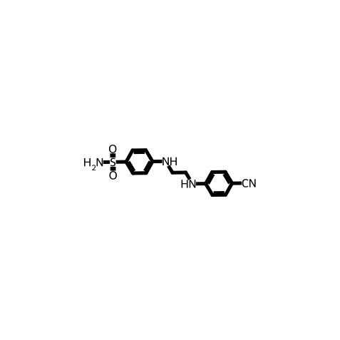 N#Cc1ccc(NCCNc2ccc(S(N)(=O)=O)cc2)cc1